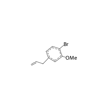 C=CCc1ccc(Br)c(OC)c1